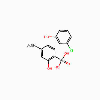 CC(=O)Nc1ccc([As](=O)(O)O)c(O)c1.Oc1cccc(Cl)c1